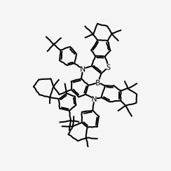 Cc1ccc(C(C)(C)C)cc1C1(C)CCCCC1(C)Cc1cc2c3c(c1)N(c1ccc(C(C)(C)C)cc1)c1c(sc4cc5c(cc14)C(C)(C)CCC5(C)C)B3c1cc3c(cc1N2c1ccc2c(c1)C(C)(C)CCC2(C)C)C(C)(C)CCC3(C)C